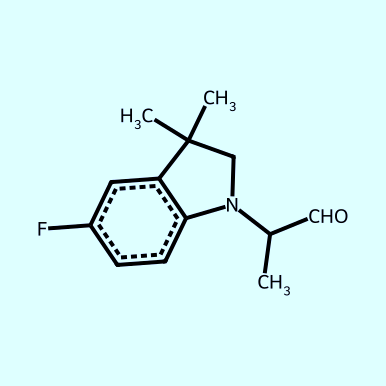 CC(C=O)N1CC(C)(C)c2cc(F)ccc21